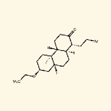 COCO[C@H]1CC[C@]2(C)[C@H](CC[C@H]3[C@H]2CCC(=O)[C@@H]3CCC(C)=O)C1